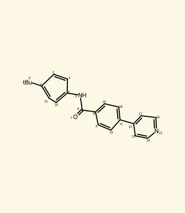 CC(C)(C)c1ccc(NC(=O)c2ccc(-c3ccncc3)cc2)cc1